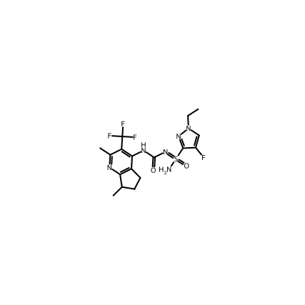 CCn1cc(F)c(S(N)(=O)=NC(=O)Nc2c3c(nc(C)c2C(F)(F)F)C(C)CC3)n1